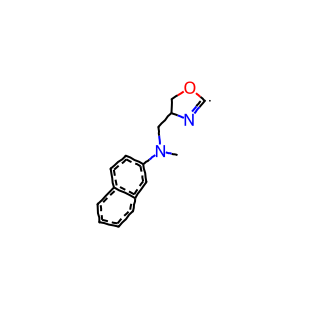 CN(CC1CO[C]=N1)c1ccc2ccccc2c1